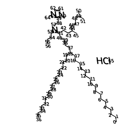 CCCCCCCCCCCCCCCCCCC(CCCCCCCCCCCCCCCCCC)CCCCC(CCC(C)CCCC(C)C)N(CCCC)CCc1nccn1C.Cl